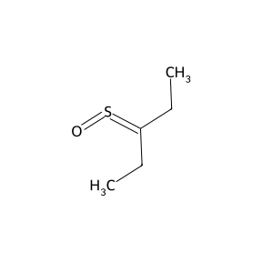 CCC(CC)=S=O